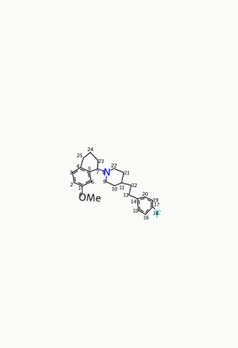 COc1ccc2c(c1)C(N1CCC(CCc3ccc(F)cc3)CC1)CCC2